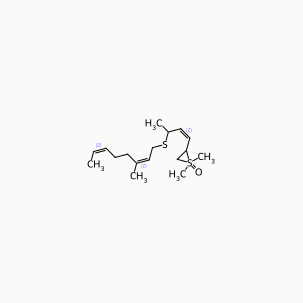 C/C=C\CC/C(C)=C\CSC(C)/C=C\C1CS1(C)(C)=O